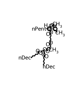 C=C(C)[C@@H]1CCC(C)=C[C@H]1c1c(O)cc(CCCCC)cc1OC(=O)CCCCOC(=O)CC(C)CC(=O)OC(COC(=O)CCCCCCCCCCCCCCC)COC(=O)CCCCCCCCCCCCCCC